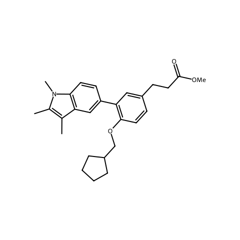 COC(=O)CCc1ccc(OCC2CCCC2)c(-c2ccc3c(c2)c(C)c(C)n3C)c1